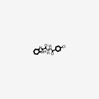 O=C(NNC(=O)c1nc2ccccc2[nH]1)c1ccc(Cl)cc1